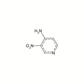 Nc1ccn[c]c1[N+](=O)[O-]